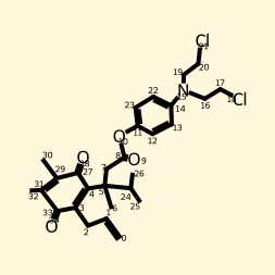 C=CCC1=C(C(C)(CC(=O)Oc2ccc(N(CCCl)CCCl)cc2)C(C)C)C(=O)C(C)=C(C)C1=O